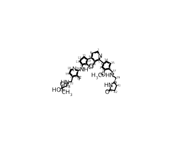 COc1cc(-c2nccc(-c3cccc(Nc4nccc(CNCC(C)(C)O)c4F)c3Cl)c2Cl)ccc1CNC[C@H]1CCC(=O)N1